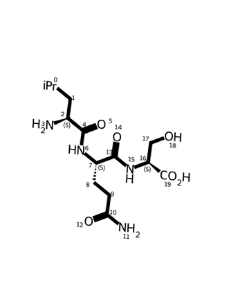 CC(C)C[C@H](N)C(=O)N[C@@H](CCC(N)=O)C(=O)N[C@@H](CO)C(=O)O